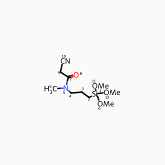 CO[Si](CCCN(C)C(=O)CC#N)(OC)OC